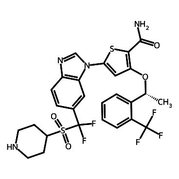 C[C@@H](Oc1cc(-n2cnc3ccc(C(F)(F)S(=O)(=O)C4CCNCC4)cc32)sc1C(N)=O)c1ccccc1C(F)(F)F